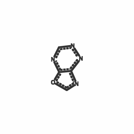 c1nnc2ncoc2n1